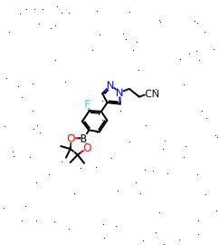 CC1(C)OB(c2ccc(-c3cnn(CCC#N)c3)c(F)c2)OC1(C)C